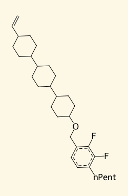 C=CC1CCC(C2CCC(C3CCC(OCc4ccc(CCCCC)c(F)c4F)CC3)CC2)CC1